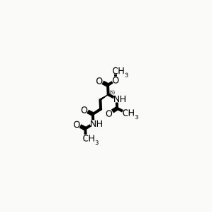 COC(=O)[C@H](CCC(=O)NC(C)=O)NC(C)=O